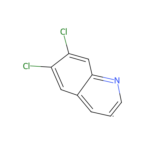 Clc1cc2c[c]cnc2cc1Cl